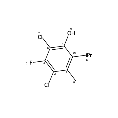 Cc1c(Cl)c(F)c(Cl)c(O)c1C(C)C